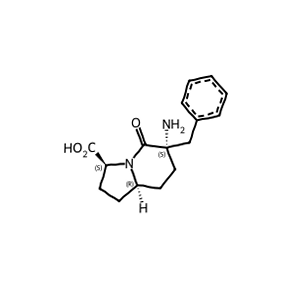 N[C@]1(Cc2ccccc2)CC[C@H]2CC[C@@H](C(=O)O)N2C1=O